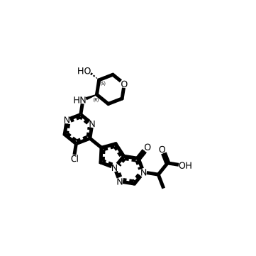 CC(C(=O)O)n1cnn2cc(-c3nc(N[C@@H]4CCOC[C@H]4O)ncc3Cl)cc2c1=O